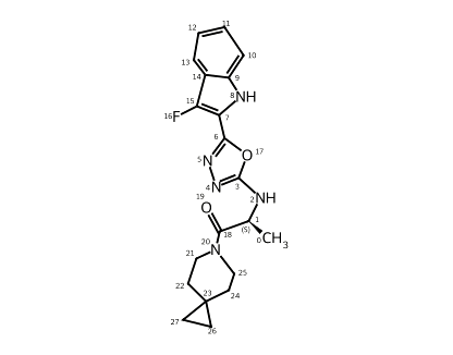 C[C@H](Nc1nnc(-c2[nH]c3ccccc3c2F)o1)C(=O)N1CCC2(CC1)CC2